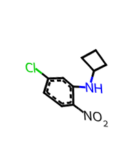 O=[N+]([O-])c1ccc(Cl)cc1NC1CCC1